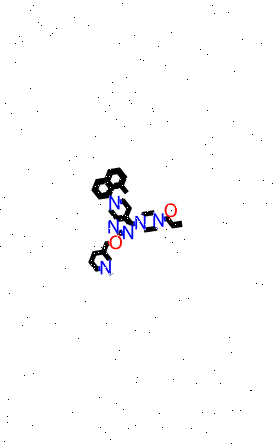 C=CC(=O)N1CCN(c2nc(OCC3CCCN(C)C3)nc3c2CCN(c2cccc4cccc(C)c24)C3)CC1